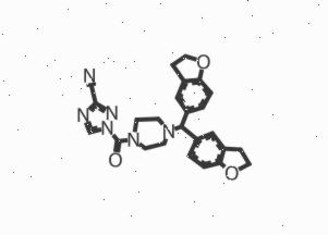 N#Cc1ncn(C(=O)N2CCN(C(c3ccc4c(c3)CCO4)c3ccc4c(c3)CCO4)CC2)n1